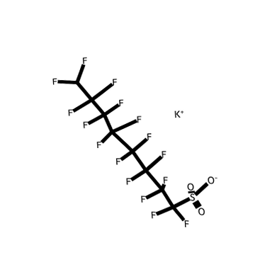 O=S(=O)([O-])C(F)(F)C(F)(F)C(F)(F)C(F)(F)C(F)(F)C(F)(F)C(F)(F)C(F)F.[K+]